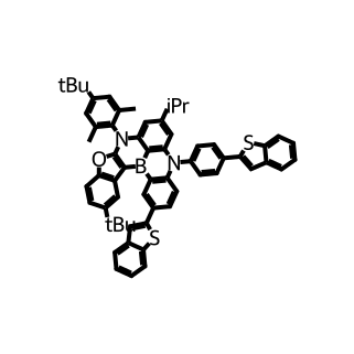 Cc1cc(C(C)(C)C)cc(C)c1N1c2cc(C(C)C)cc3c2B(c2cc(-c4cc5ccccc5s4)ccc2N3c2ccc(-c3cc4ccccc4s3)cc2)c2c1oc1ccc(C(C)(C)C)cc21